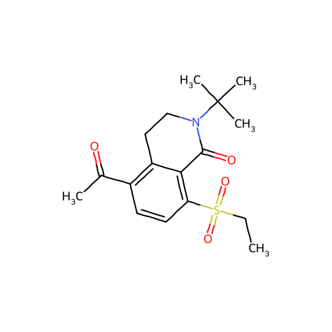 CCS(=O)(=O)c1ccc(C(C)=O)c2c1C(=O)N(C(C)(C)C)CC2